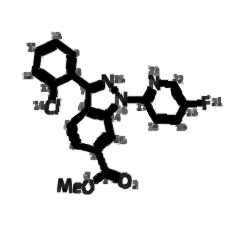 COC(=O)c1ccc2c(-c3ccccc3Cl)nn(-c3ccc(F)cn3)c2c1